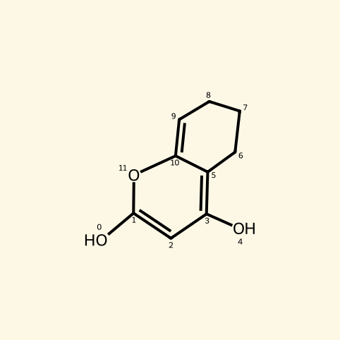 OC1=CC(O)=C2CCCC=C2O1